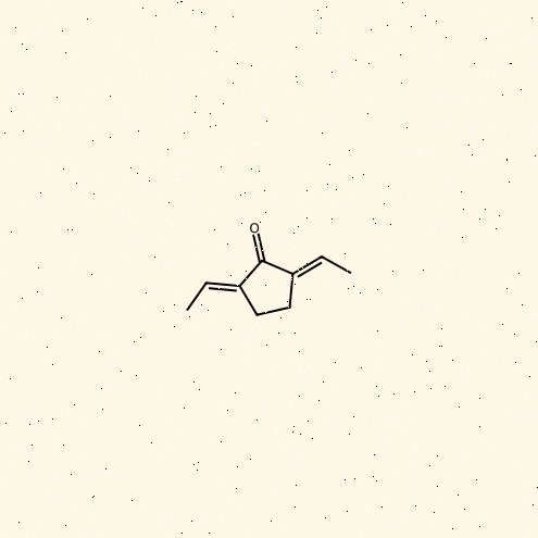 C/C=C1\CC/C(=C\C)C1=O